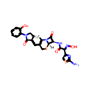 Nc1nc(C(=NO)C(=O)N[C@@H]2C(=O)N3C(C(=O)O)=C(C=C4CCN(c5ccccc5O)C4=O)CS[C@H]23)cs1